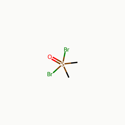 CS(C)(=O)(Br)Br